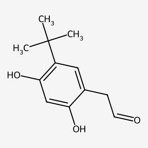 CC(C)(C)c1cc(CC=O)c(O)cc1O